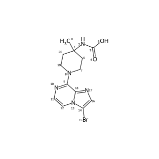 CC1(NC(=O)O)CCN(c2nccn3c(Br)cnc23)CC1